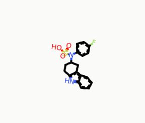 O=S(=O)(O)N(c1ccc(F)cc1)C1CCc2[nH]c3ccccc3c2C1